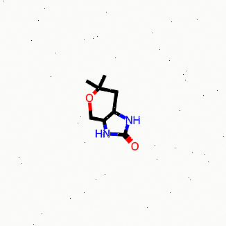 CC1(C)CC2NC(=O)NC2CO1